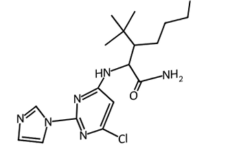 CSCCCC(C(Nc1cc(Cl)nc(-n2ccnc2)n1)C(N)=O)C(C)(C)C